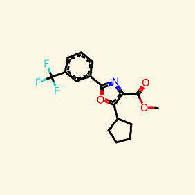 COC(=O)c1nc(-c2cccc(C(F)(F)F)c2)oc1C1CCCC1